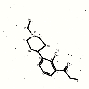 CCC(=O)c1cccc(C2CCN(CC)CC2)c1Cl